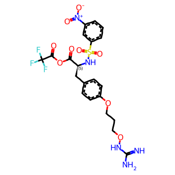 N=C(N)NOCCCOc1ccc(C[C@H](NS(=O)(=O)c2cccc([N+](=O)[O-])c2)C(=O)OC(=O)C(F)(F)F)cc1